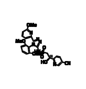 COc1cccc(-c2nnc(NS(=O)(=O)C[C@H](O)c3ccc(C#N)cn3)n2-c2c(OC)cccc2OC)n1